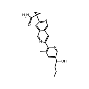 CCCC(O)c1cc(C)c(-c2cc3cnc(C4(C(N)=O)CC4)cc3cn2)nn1